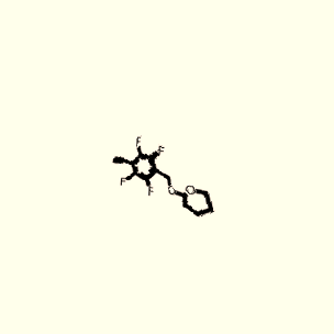 C#Cc1c(F)c(F)c(COC2CCCCO2)c(F)c1F